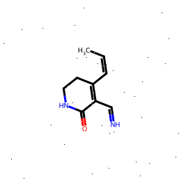 C/C=C\C1=C(C=N)C(=O)NCC1